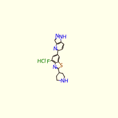 Cl.Fc1cc(-c2ccc3[nH]ncc3n2)cc2sc(C3CCNCC3)nc12